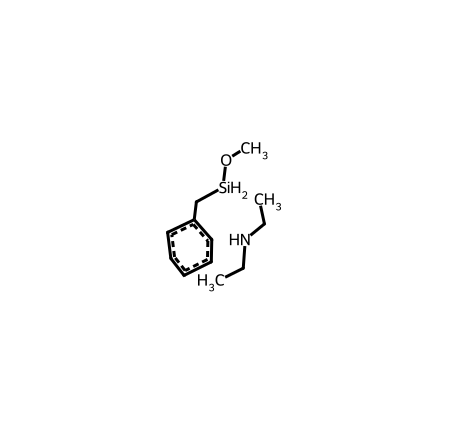 CCNCC.CO[SiH2]Cc1ccccc1